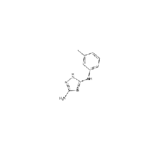 Cc1cccc(Nc2nc(N)n[nH]2)c1